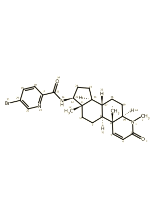 CN1C(=O)C=C[C@]2(C)[C@H]3CC[C@]4(C)[C@@H](NC(=O)c5ccc(Br)cn5)CC[C@H]4[C@@H]3CC[C@@H]12